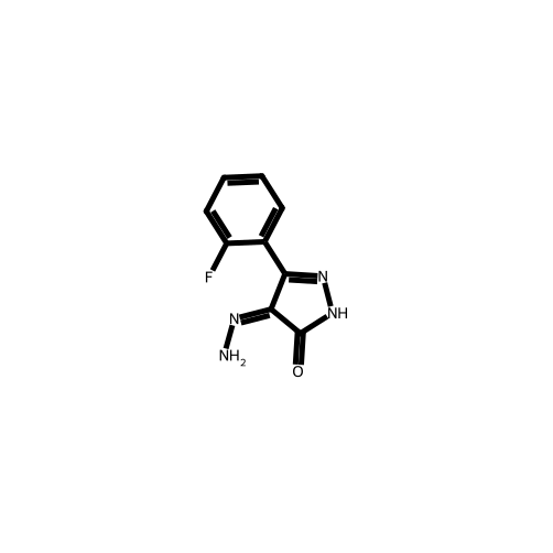 NN=C1C(=O)NN=C1c1ccccc1F